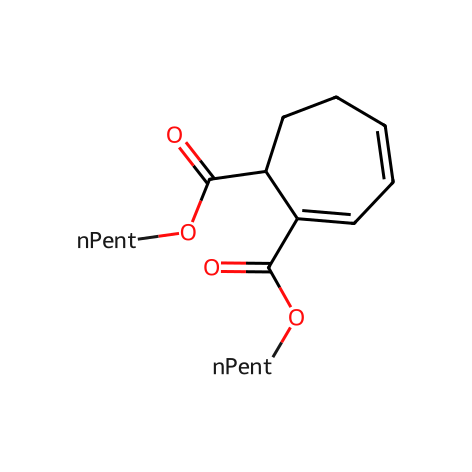 CCCCCOC(=O)C1=CC=CCCC1C(=O)OCCCCC